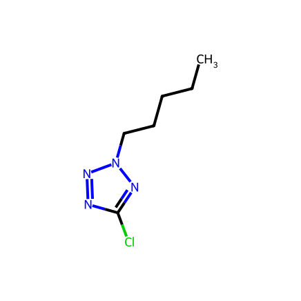 CCCCCn1nnc(Cl)n1